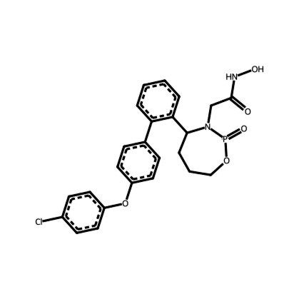 O=C(CN1C(c2ccccc2-c2ccc(Oc3ccc(Cl)cc3)cc2)CCCO[P]1=O)NO